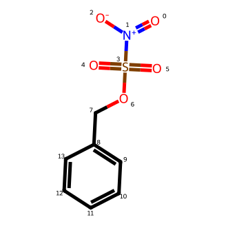 O=[N+]([O-])S(=O)(=O)OCc1ccccc1